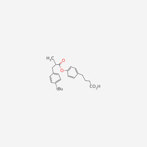 CC(Cc1ccc(C(C)(C)C)cc1)C(=O)Oc1ccc(CCCC(=O)O)cc1